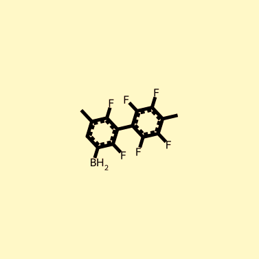 Bc1cc(C)c(F)c(-c2c(F)c(F)c(C)c(F)c2F)c1F